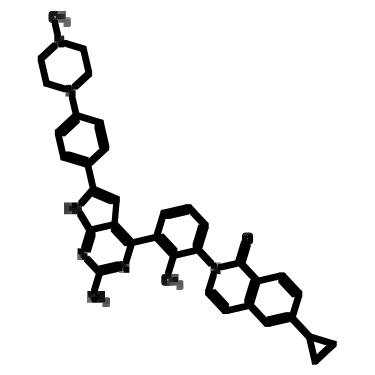 Cc1c(-c2nc(N)nc3[nH]c(-c4ccc(N5CCN(C)CC5)cc4)cc23)cccc1-n1ccc2cc(C3CC3)ccc2c1=O